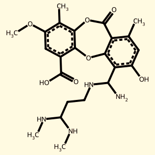 CNC(CCNC(N)c1c(O)cc(C)c2c1Oc1c(C(=O)O)cc(OC)c(C)c1OC2=O)NC